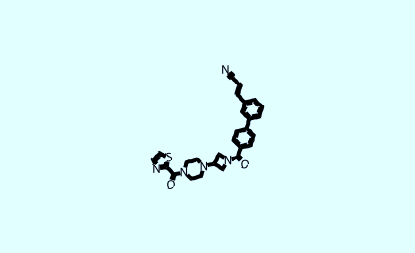 N#CC=Cc1cccc(-c2ccc(C(=O)N3CC(N4CCN(C(=O)c5nccs5)CC4)C3)cc2)c1